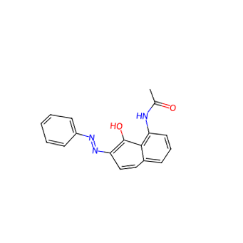 CC(=O)Nc1cccc2ccc(N=Nc3ccccc3)c(O)c12